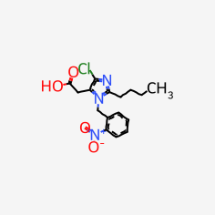 CCCCc1nc(Cl)c(CC(=O)O)n1Cc1ccccc1[N+](=O)[O-]